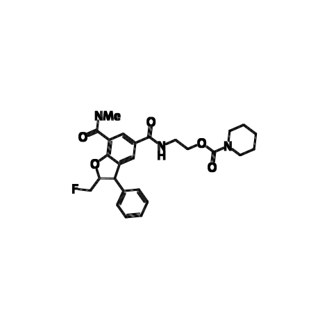 CNC(=O)c1cc(C(=O)NCCOC(=O)N2CCCCC2)cc2c1OC(CF)C2c1ccccc1